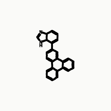 C1=CC2N=CNC2C(c2ccc3c4ccccc4c4ccccc4c3c2)=C1